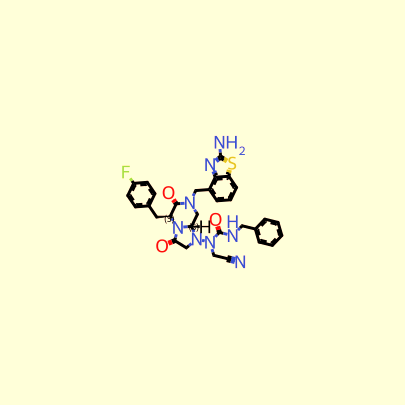 N#CCN(C(=O)NCc1ccccc1)N1CC(=O)N2[C@@H](Cc3ccc(F)cc3)C(=O)N(Cc3cccc4sc(N)nc34)C[C@@H]21